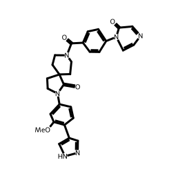 COc1cc(N2CCC3(CCN(C(=O)c4ccc(-n5ccncc5=O)cc4)CC3)C2=O)ccc1-c1cn[nH]c1